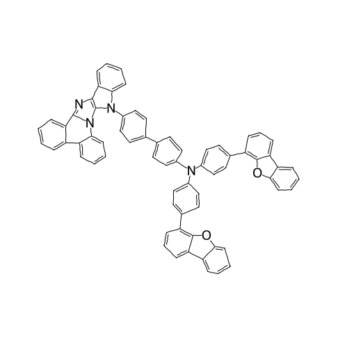 c1ccc2c(c1)oc1c(-c3ccc(N(c4ccc(-c5ccc(-n6c7ccccc7c7nc8c9ccccc9c9ccccc9n8c76)cc5)cc4)c4ccc(-c5cccc6c5oc5ccccc56)cc4)cc3)cccc12